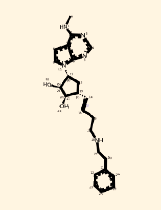 CNc1ncnc2c1ccn2[C@@H]1C[C@H](/C=C/CCNCCc2ccccc2)[C@@H](O)[C@H]1O